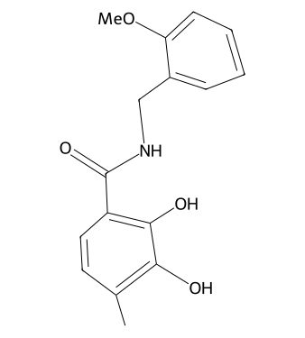 COc1ccccc1CNC(=O)c1ccc(C)c(O)c1O